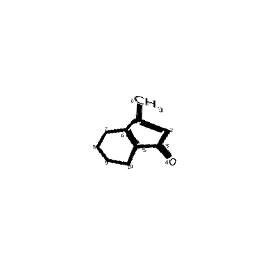 CC1=CC(=O)C2=C1CCCC2